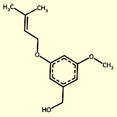 COc1cc(CO)cc(OCC=C(C)C)c1